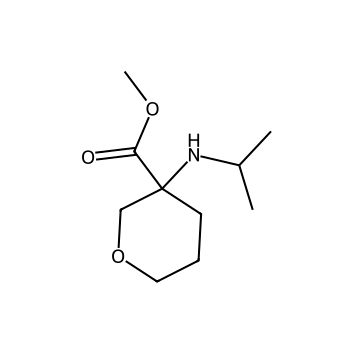 COC(=O)C1(NC(C)C)CCCOC1